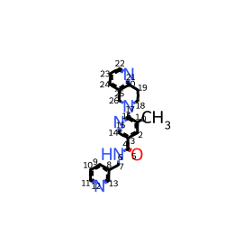 Cc1cc(C(=O)NCc2cccnc2)cnc1N1CCc2ncccc2C1